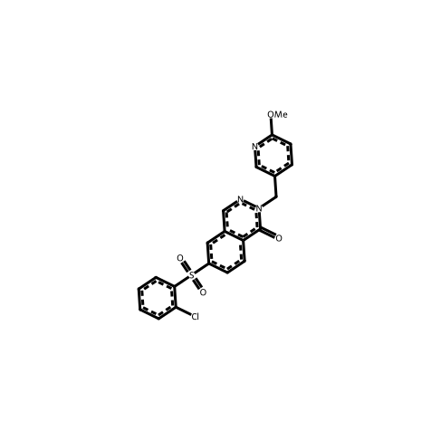 COc1ccc(Cn2ncc3cc(S(=O)(=O)c4ccccc4Cl)ccc3c2=O)cn1